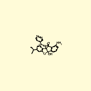 CC(C)c1ccc2c(c1)OC1(O)c3cccc(N)c3C(=O)C21NC(=O)c1ccnnc1